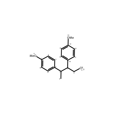 COc1ccc(C(C)C(CC(F)(F)F)c2ccc(OC)cc2)cc1